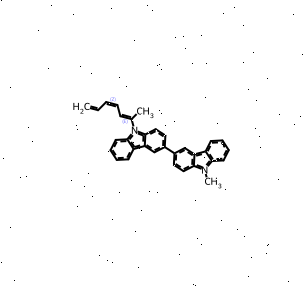 C=C/C=C\C=C(/C)n1c2ccccc2c2cc(-c3ccc4c(c3)c3ccccc3n4C)ccc21